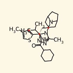 Cc1csc([C@H](CCN2C3CCC2CC(n2c(C)nnc2C(C)C)C3)NC(=O)C2CCCCC2)c1